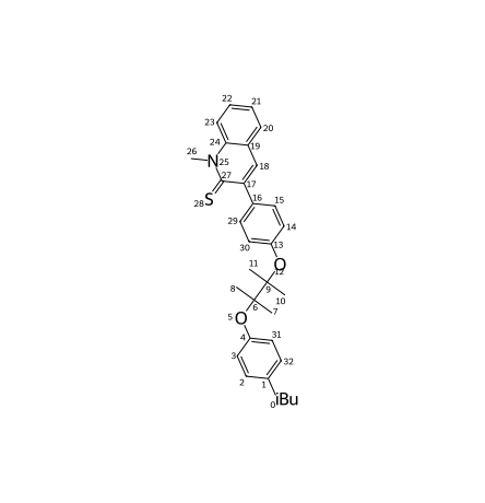 CCC(C)c1ccc(OC(C)(C)C(C)(C)Oc2ccc(-c3cc4ccccc4n(C)c3=S)cc2)cc1